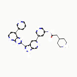 O=C(CC1CCNCC1)Nc1cncc(-c2cc3c(-c4nc5c(-c6cccnc6)ccnc5[nH]4)n[nH]c3cn2)c1